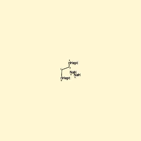 [CH2]CCCCCCCCCCCCCCC.[NaH].[NaH]